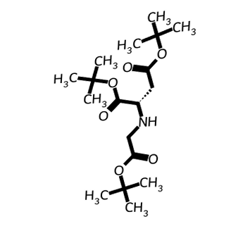 CC(C)(C)OC(=O)CN[C@@H](CC(=O)OC(C)(C)C)C(=O)OC(C)(C)C